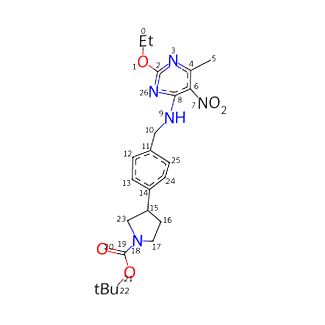 CCOc1nc(C)c([N+](=O)[O-])c(NCc2ccc(C3CCN(C(=O)OC(C)(C)C)C3)cc2)n1